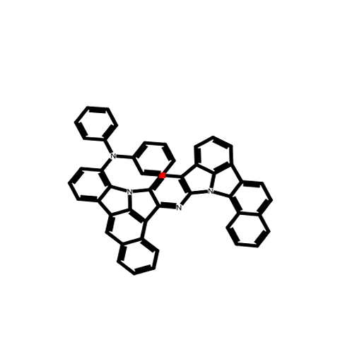 c1ccc(N(c2ccccc2)c2cccc3c4cc5ccccc5c5c6nc7c(cc6n(c23)c45)c2cccc3c4ccc5ccccc5c4n7c23)cc1